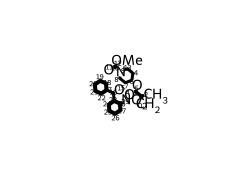 C=C(C)C(=O)OC1CCN(C(=O)OC)CC1.O=C(c1ccccc1)c1ccccc1[N+](=O)[O-]